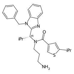 CC(C)c1cc(C(=O)N(CCCN)[C@@H](c2nc3ccccc3n2Cc2ccccc2)C(C)C)cs1